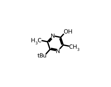 Cc1nc(C(C)(C)C)c(C)nc1O